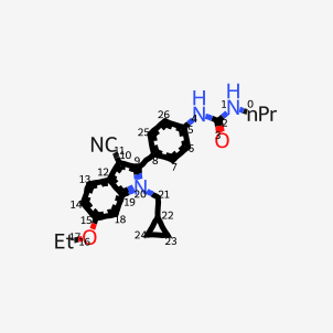 CCCNC(=O)Nc1ccc(-c2c(C#N)c3ccc(OCC)cc3n2CC2CC2)cc1